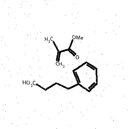 C=C(C)C(=O)OC.O=C(O)CCCc1ccccc1